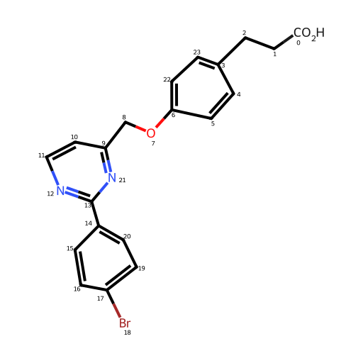 O=C(O)CCc1ccc(OCc2ccnc(-c3ccc(Br)cc3)n2)cc1